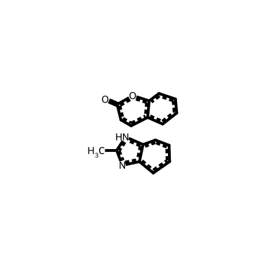 Cc1nc2ccccc2[nH]1.O=c1ccc2ccccc2o1